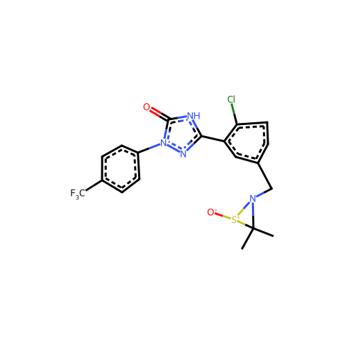 CC1(C)N(Cc2ccc(Cl)c(-c3nn(-c4ccc(C(F)(F)F)cc4)c(=O)[nH]3)c2)[S+]1[O-]